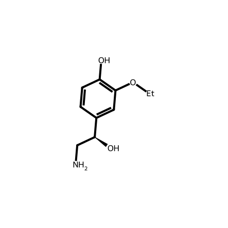 CCOc1cc([C@@H](O)CN)ccc1O